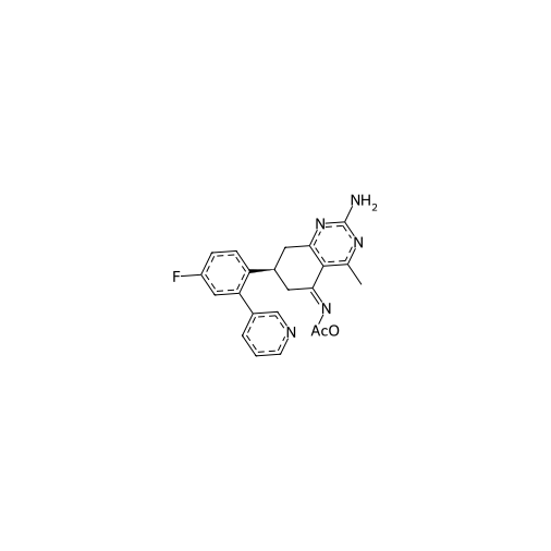 CC(=O)ON=C1C[C@@H](c2ccc(F)cc2-c2cccnc2)Cc2nc(N)nc(C)c21